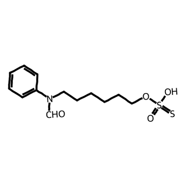 O=CN(CCCCCCOS(=O)(O)=S)c1ccccc1